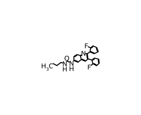 CCCCNC(=O)Nc1ccc2nc(-c3ccccc3F)c(-c3ccccc3F)cc2c1